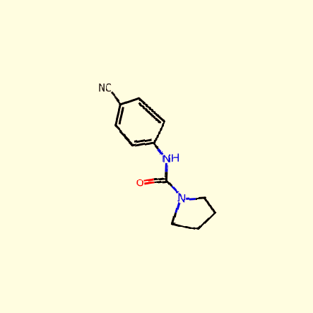 N#Cc1ccc(NC(=O)N2CCCC2)cc1